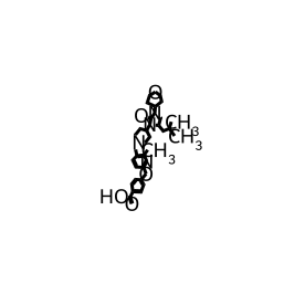 Cc1nc(Oc2ccc(C(=O)O)cc2)ccc1CN1CCC(N2C(=O)N(C3CCOCC3)CC2CC(C)C)CC1